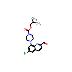 CC(C)COC(=O)N1CCN(c2cc(Br)cc3ccc(C=O)nc23)CC1